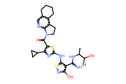 CCC(O)C(C)NC(=N)c1c(O)nsc1Nc1nc(C2CC2)c(C(=O)N2CCc3c2ncc2c3CCCC2)s1